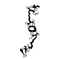 C=C(O)OC(C)(CC)OC(=O)\C=C/C=C/C=C/C1C(=O)OC2(CCC3(CC2)OC(=O)C(=C/C=C/C=C/C2=C(O)OC(C)(CC)OC2=O)C(=O)O3)OC1=O